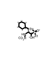 CCP(=O)(CC)C(O)[C@H](CC1CCCCC1)NC(=O)O